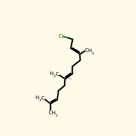 CC(C)=CCC/C(C)=C/CCC(C)=CCCl